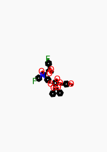 COc1ccc(CO[C@@H]2C(=O)C[C@@H](Oc3ccc([C@@H]4[C@@H](CC[C@H](OC(C)=O)c5ccc(F)cc5)C(=O)N4c4ccc(F)cc4)cc3)[C@H](OCc3ccccc3)[C@H]2OCc2ccccc2)cc1